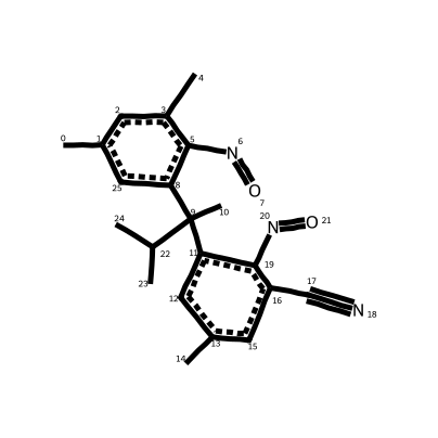 Cc1cc(C)c(N=O)c(C(C)(c2cc(C)cc(C#N)c2N=O)C(C)C)c1